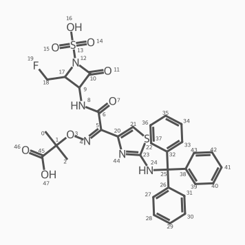 CC(C)(ON=C(C(=O)NC1C(=O)N(S(=O)(=O)O)C1CF)c1csc(NC(c2ccccc2)(c2ccccc2)c2ccccc2)n1)C(=O)O